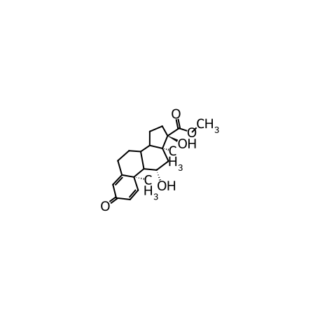 COC(=O)[C@@]1(O)CCC2C3CCC4=CC(=O)C=C[C@]4(C)C3[C@@H](O)C[C@@]21C